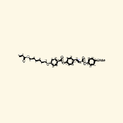 C=CC(=O)OCCCCCCOc1ccc(C(=O)Oc2ccc(/C=C/C(=O)Oc3ccc(OC)cc3)cc2)cc1